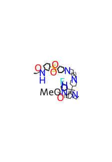 C=CC(=O)Nc1cccc(S(=O)(=O)c2ccc(N3CC[C@@H](CN4CCC(C(CN5CCC5)(c5cccc(F)c5)[C@H]5CCC[C@@H]5NC(=O)OC)CC4)C3)cc2)c1